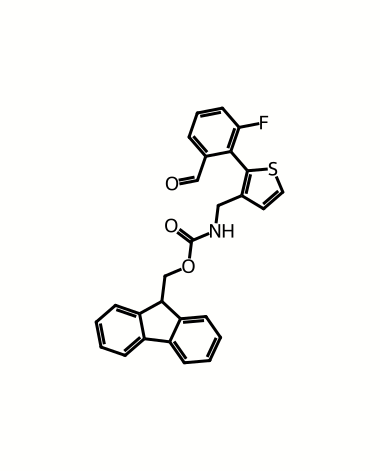 O=Cc1cccc(F)c1-c1sccc1CNC(=O)OCC1c2ccccc2-c2ccccc21